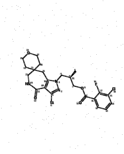 CCc1nn(C[C@@H](C)COC(=O)c2cccc(Cl)c2F)c2c1C(=O)NCC1(CCOCC1)C2